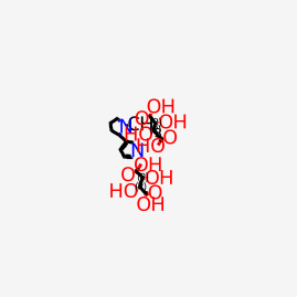 CN1CCCC1c1cccnc1.O=C(O)[C@H](O)[C@@H](O)C(=O)O.O=C(O)[C@H](O)[C@@H](O)C(=O)O